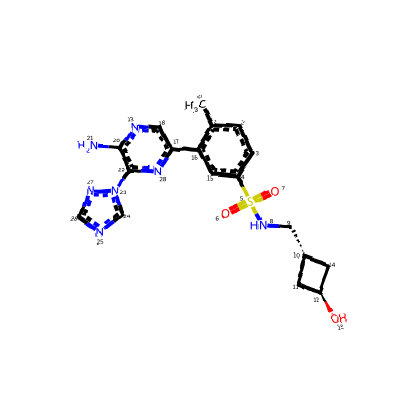 Cc1ccc(S(=O)(=O)NC[C@H]2C[C@H](O)C2)cc1-c1cnc(N)c(-n2cncn2)n1